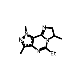 CCC1=Nc2c(C)nn(C)c2C2=NCC(C)N12